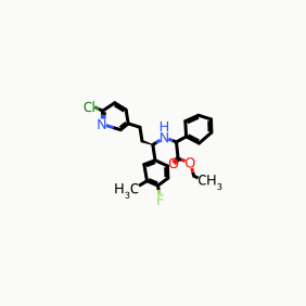 CCOC(=O)C(N[C@H](CCc1ccc(Cl)nc1)c1ccc(F)c(C)c1)c1ccccc1